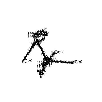 CCCCCCCCCCCCCCCCCCCCCCCCCCNC(CO[C@H]1O[C@H](COC(=S)Nc2ccccc2OC(F)(F)F)[C@H](O)[C@H](O)[C@H]1O)C(O)C(O)CCCCCCCCCCCCCCC(O[C@H]1O[C@H](COC(=S)Nc2ccc(F)cc2F)[C@H](O)[C@H](O)[C@H]1O)[C@@H](NCCCCCCCCCCCCCCCCCCCCCCCCCC)[C@H](O)[C@H](O)CCCCCCCCCCCCCC